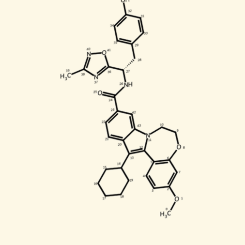 COc1ccc2c(c1)OCCn1c-2c(C2CCCCC2)c2ccc(C(=O)N[C@@H](Cc3ccc(O)cc3)c3nc(C)no3)cc21